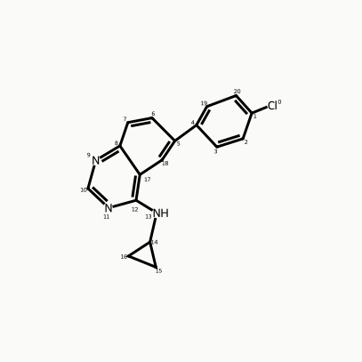 Clc1ccc(-c2ccc3ncnc(NC4CC4)c3c2)cc1